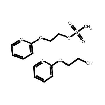 CS(=O)(=O)OCCOc1ccccn1.OCCOc1ccccn1